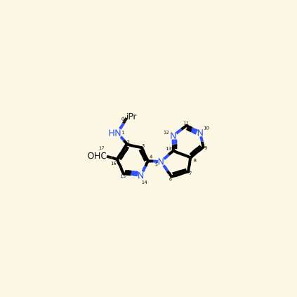 CC(C)Nc1cc(-n2ccc3cncnc32)ncc1C=O